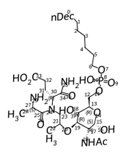 CCCCCCCCCCCCCCCCOP(=O)(O)OC[C@H]1O[C@H](O)[C@H](NC(C)=O)[C@@H](OC(C)CN(C(=O)[C@H](C)N)[C@H](CCC(=O)O)C(N)=O)[C@@H]1O